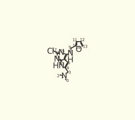 CN(C)Cc1cc2c(NCc3ccco3)nc(Cl)nc2[nH]1